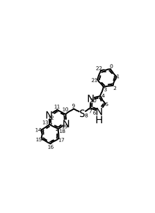 c1ccc(-c2c[nH]c(SCc3cnc4ccccc4n3)n2)cc1